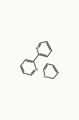 C1=CCOC=C1.c1ccc(-c2ccccn2)nc1